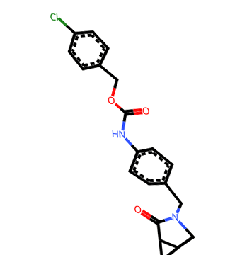 O=C(Nc1ccc(CN2CC3CC3C2=O)cc1)OCc1ccc(Cl)cc1